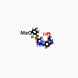 COc1cc(C)c(F)c(COc2cnc(Nc3ccc4cnn(CCO)c4c3)nc2)c1F